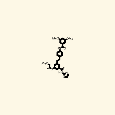 COC[C@H](C)Oc1cc(CCc2ccc(NC(=O)c3cc(OC)cc(OC)c3)cc2)cc(C(=O)Nc2nccs2)c1